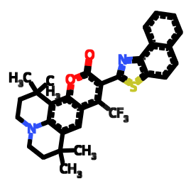 CC1(C)CCN2CCC(C)(C)c3c2c1cc1c(C(F)(F)F)c(-c2nc4c(ccc5ccccc54)s2)c(=O)oc31